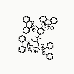 C=C/C(=C\C(CP1(=O)Oc2ccccc2-c2ccccc21)=C(\O)CP1(=O)Oc2ccccc2-c2ccccc21)C(C)(C)c1cc(CP2(=O)Oc3ccccc3-c3ccccc32)c(O)c(CP2(=O)Oc3ccccc3-c3ccccc32)c1